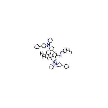 C/C=C\C=C/c1cc2c(c3ccc(N(c4ccccc4)c4ccc(-c5ccccc5)cc4)cc13)C(C)(C)c1cc(N(c3ccccc3)c3ccc(-c4ccccc4)cc3)ccc1-2